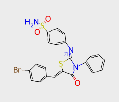 NS(=O)(=O)c1ccc(/N=C2\SC(=Cc3ccc(Br)cc3)C(=O)N2c2ccccc2)cc1